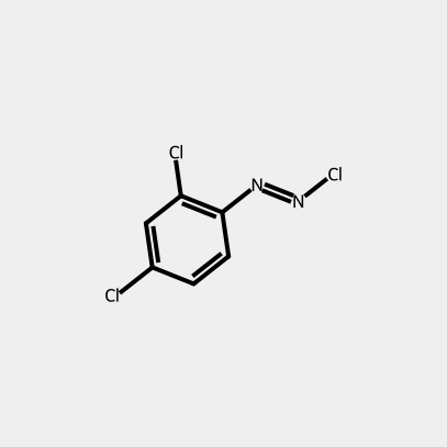 Cl/N=N/c1ccc(Cl)cc1Cl